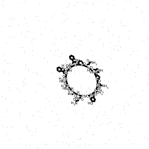 CCCC[C@H]1C(=O)N(C)[C@@H](CCCC)C(=O)N[C@@H](CC(C)C)C(=O)N[C@H](C(=O)NCC(N)=O)CSCC(=O)N[C@@H](Cc2ccc(O)cc2)C(=O)N(C)[C@@H](C)C(=O)N[C@@H](CC(N)=O)C(=O)N2CCC[C@H]2C(=O)N[C@@H](Cc2c[nH]cn2)C(=O)N[C@@H](CCC(N)=O)C(=O)N2CCCC[C@H]2C(=O)N[C@@H](Cc2c[nH]c3ccccc23)C(=O)N[C@@H](CO)C(=O)N[C@@H](Cc2c[nH]c3ccccc23)C(=O)N1C